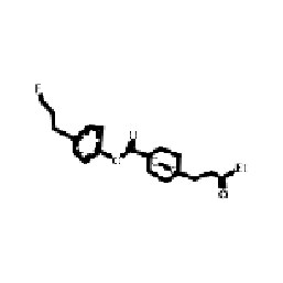 CCC(=O)CCC12CCC(C(=O)Oc3ccc(CCCF)cc3)(CC1)CC2